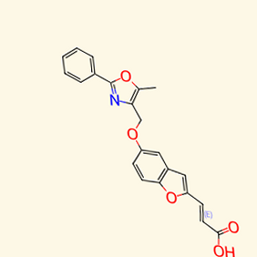 Cc1oc(-c2ccccc2)nc1COc1ccc2oc(/C=C/C(=O)O)cc2c1